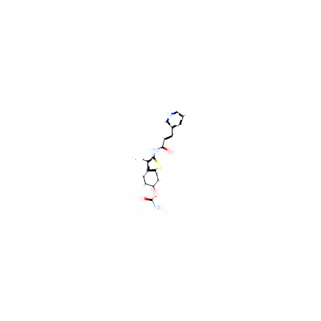 N#Cc1c(NC(=O)C=Cc2cccnc2)sc2c1CCC(OC(N)=O)C2